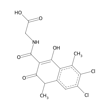 Cc1c(Cl)c(Cl)cc2c1C(O)=C(C(=O)NCC(=O)O)C(=O)C2C